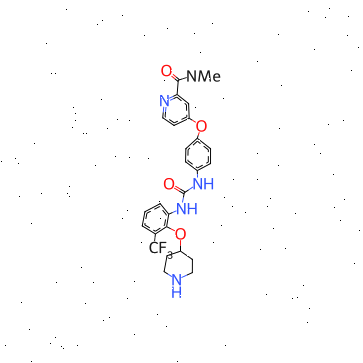 CNC(=O)c1cc(Oc2ccc(NC(=O)Nc3cccc(C(F)(F)F)c3OC3CCNCC3)cc2)ccn1